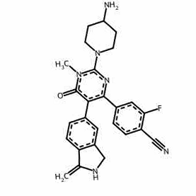 C=C1NCc2cc(-c3c(-c4ccc(C#N)c(F)c4)nc(N4CCC(N)CC4)n(C)c3=O)ccc21